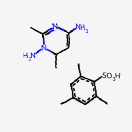 CC1=NC(N)=CC(C)N1N.Cc1cc(C)c(S(=O)(=O)O)c(C)c1